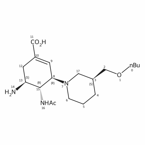 CCCCOC[C@H]1CCCN([C@@H]2C=C(C(=O)O)C[C@H](N)[C@H]2NC(C)=O)C1